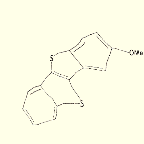 COc1ccc2sc3c4ccccc4sc3c2c1